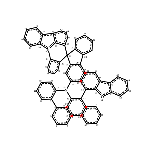 c1ccc(-c2cccc(-c3ccccc3N(c3ccc4c(c3)C3(c5ccccc5-4)c4ccccc4-n4c5ccccc5c5cccc3c54)c3ccccc3-c3cccc4c3oc3ccccc34)c2)cc1